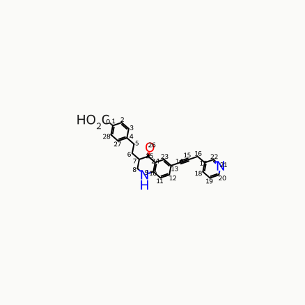 O=C(O)c1ccc(CCC2CNc3ccc(C#CCc4cccnc4)cc3C2=O)cc1